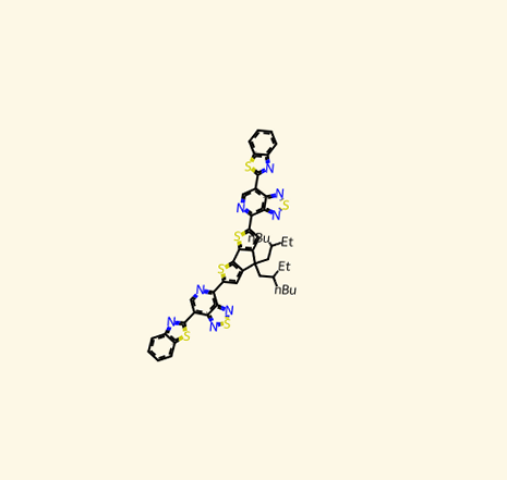 CCCCC(CC)CC1(CC(CC)CCCC)c2cc(-c3ncc(-c4nc5ccccc5s4)c4nsnc34)sc2-c2sc(-c3ncc(-c4nc5ccccc5s4)c4nsnc34)cc21